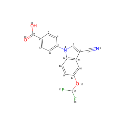 N#Cc1cn(-c2ccc(C(=O)O)cc2)c2ccc(OC(F)F)cc12